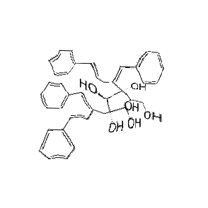 OC[C@@H](O)[C@](O)(C(C=Cc1ccccc1)=Cc1ccccc1)[C@H](O)[C@@](O)(CO)C(C=Cc1ccccc1)=Cc1ccccc1